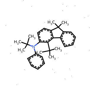 CC(C)(C)c1c(N(c2ccccc2)C(C)(C)C)ccc2c1-c1ccccc1C2(C)C